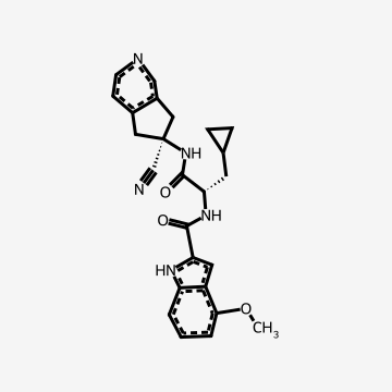 COc1cccc2[nH]c(C(=O)N[C@@H](CC3CC3)C(=O)N[C@@]3(C#N)Cc4ccncc4C3)cc12